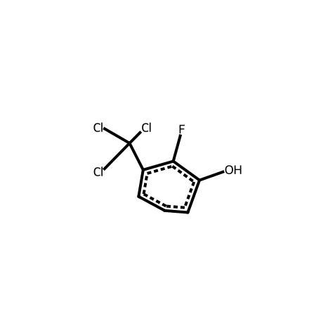 Oc1cccc(C(Cl)(Cl)Cl)c1F